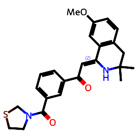 COc1ccc2c(c1)/C(=C/C(=O)c1cccc(C(=O)N3CCSC3)c1)NC(C)(C)C2